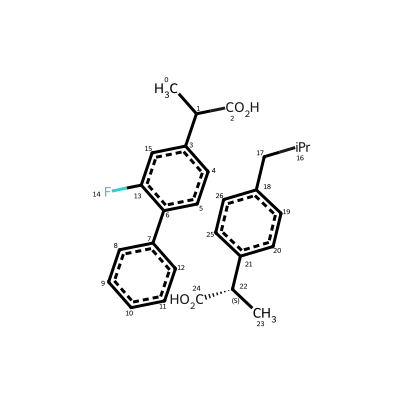 CC(C(=O)O)c1ccc(-c2ccccc2)c(F)c1.CC(C)Cc1ccc([C@H](C)C(=O)O)cc1